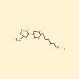 [CH2]C(F)CC(C)[C@H]1CC[C@H](CCCCCCC)CC1